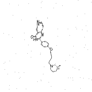 C[C@H]1CCCN(CCCOc2ccc(-c3nc4ccncc4c(=O)[nH]3)cc2)C1